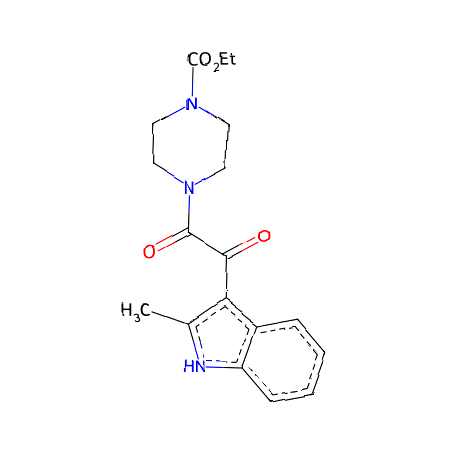 CCOC(=O)N1CCN(C(=O)C(=O)c2c(C)[nH]c3ccccc23)CC1